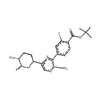 CC(C)(C)OC(=O)c1ccc(-c2nc(C3CCC(O)C(F)C3)cnc2N)cc1F